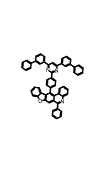 c1ccc(-c2cccc(-c3cc(-c4cccc(-c5ccccc5)c4)nc(-c4ccc(-c5c6c(cc7c(-c8ccccc8)nc8ccccc8c57)oc5ccccc56)cc4)n3)c2)cc1